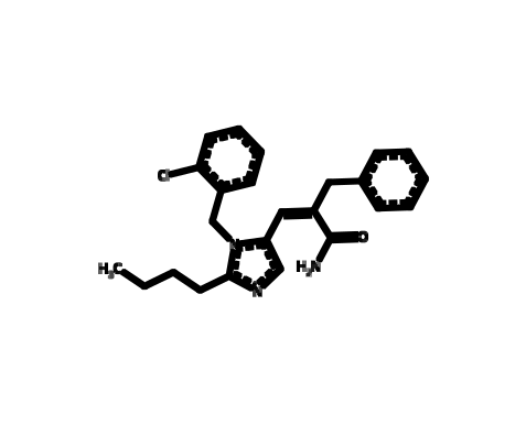 CCCCc1ncc(C=C(Cc2ccccc2)C(N)=O)n1Cc1ccccc1Cl